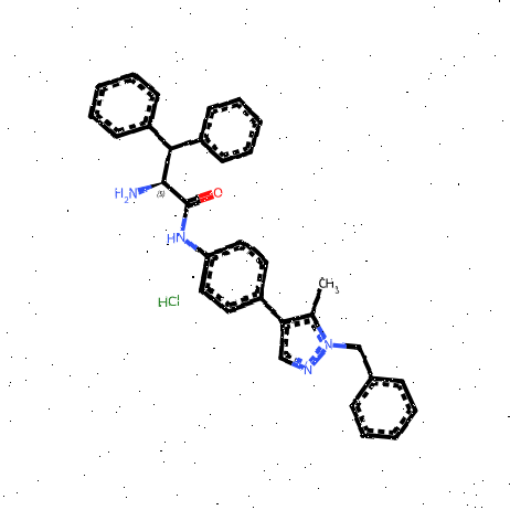 Cc1c(-c2ccc(NC(=O)[C@@H](N)C(c3ccccc3)c3ccccc3)cc2)cnn1Cc1ccccc1.Cl